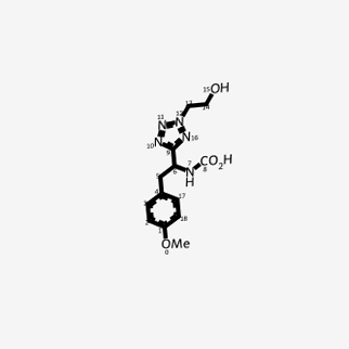 COc1ccc(CC(NC(=O)O)c2nnn(CCO)n2)cc1